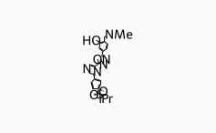 CNCc1ccc(-c2nnc(-c3cncc(-c4ccc(S(=O)(=O)C(C)C)cc4)n3)o2)cc1O